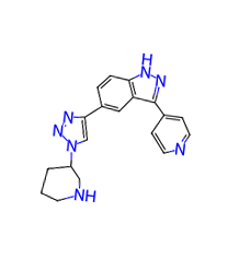 c1cc(-c2n[nH]c3ccc(-c4cn(C5CCCNC5)nn4)cc23)ccn1